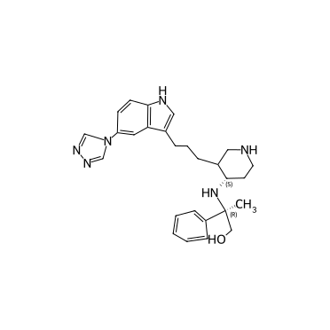 C[C@@](CO)(N[C@H]1CCNCC1CCCc1c[nH]c2ccc(-n3cnnc3)cc12)c1ccccc1